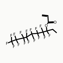 C=CC(=O)OC(F)(CC)C(F)(F)C(F)(F)C(F)(F)C(F)(F)C(F)(F)C(F)(F)C(F)(F)F